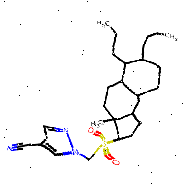 CCCC1C(CC)CCC2C1CCC1(C)C2CCC1S(=O)(=O)Cn1cc(C#N)cn1